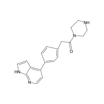 O=C(Cc1ccc(-c2ccnc3[nH]ccc23)cc1)N1CCNCC1